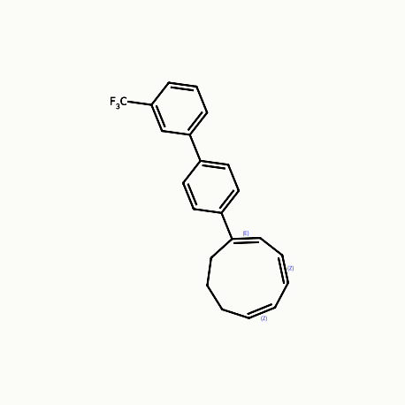 FC(F)(F)c1cccc(-c2ccc(/C3=C/C=C\C=C/CCC3)cc2)c1